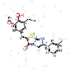 CCc1cc(/C=c2\sc3nc(-c4cccc(C)c4)cn3c2=O)cc(OC)c1O